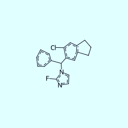 Fc1nccn1C(c1ccccc1)c1cc2c(cc1Cl)CCC2